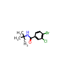 CC(C)(C)NC(=O)c1ccc(Br)c(Cl)c1